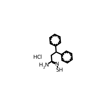 Cl.NC(CC(c1ccccc1)c1ccccc1)=NS